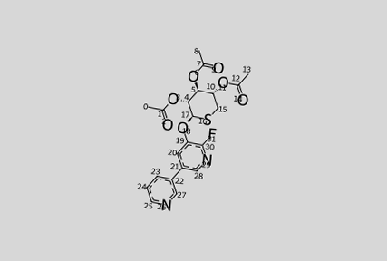 CC(=O)O[C@@H]1[C@@H](OC(C)=O)[C@H](OC(C)=O)CS[C@H]1Oc1cc(-c2cccnc2)cnc1F